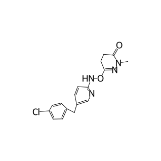 CN1N=C(ONc2ccc(Cc3ccc(Cl)cc3)cn2)CCC1=O